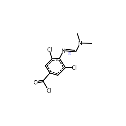 CN(C)/C=N/c1c(Cl)cc(C(=O)Cl)cc1Cl